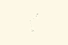 C=C(C)C(=O)OCC[N+](C)(C)CCCOS(=O)(=O)O